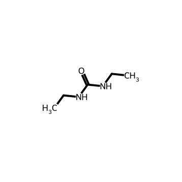 CCNC(=O)NCC